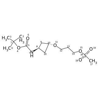 CC(C)(C)OC(=O)N[C@H]1C[C@H](OCCCOS(C)(=O)=O)C1